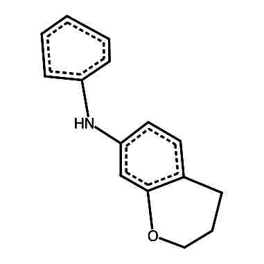 c1ccc(Nc2ccc3c(c2)OCCC3)cc1